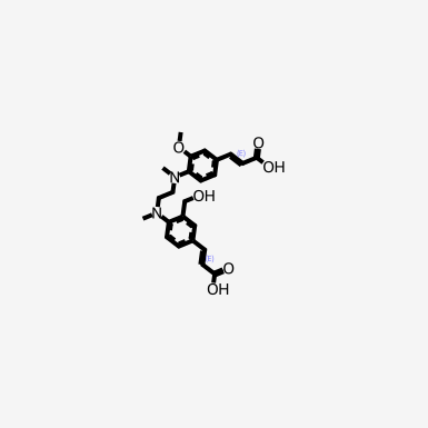 COc1cc(/C=C/C(=O)O)ccc1N(C)CCN(C)c1ccc(/C=C/C(=O)O)cc1CO